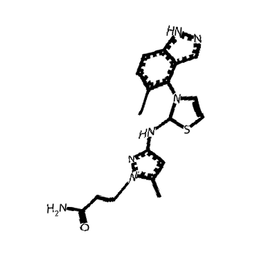 Cc1ccc2[nH]ncc2c1N1C=CSC1Nc1cc(C)n(CCC(N)=O)n1